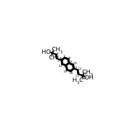 CC(C)(O)C=Cc1ccc2cc(C=CC(C)(C)O)ccc2c1